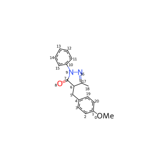 COc1ccc(CC2C(=O)N(c3ccccc3)N=C2C)cc1